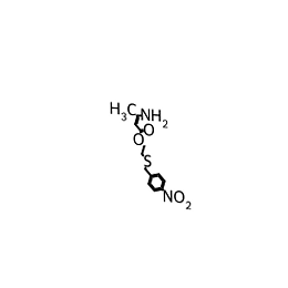 C/C(N)=C/C(=O)OCCSCc1ccc([N+](=O)[O-])cc1